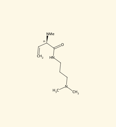 C=C[C@@H](NC)C(=O)NCCCN(C)C